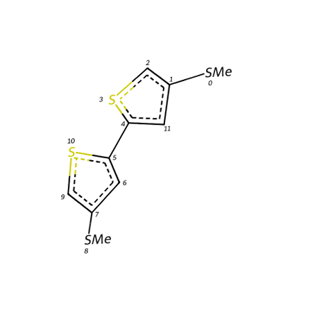 CSc1csc(-c2cc(SC)cs2)c1